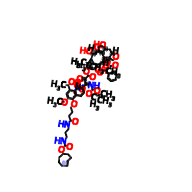 COc1cc(C(C)OC(=O)O[C@@H](C(=O)O[C@H]2CC3(O)[C@@H](OC(=O)c4ccccc4)[C@@H]4[C@]5(OC(C)=O)CO[C@@H]5C[C@H](O)[C@@]4(C)C(=O)[C@H](O)C(=C2C)C3(C)C)[C@@H](NC(=O)OC(C)(C)C)c2ccccc2)c([N+](=O)[O-])cc1OCCCC(=O)NCCCNC(=O)OC1CC/C=C/CCC1